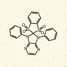 O=S1(=O)c2ccccc2S(=O)(=O)C12N(c1ccccc1)c1nccnc1N2c1ccccc1